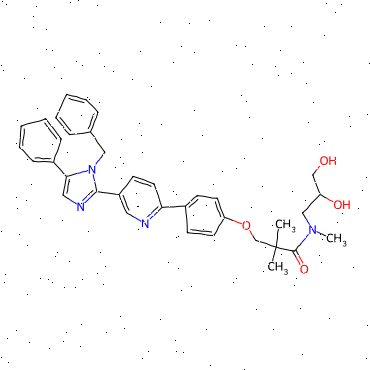 CN(CC(O)CO)C(=O)C(C)(C)COc1ccc(-c2ccc(-c3ncc(-c4ccccc4)n3Cc3ccccc3)cn2)cc1